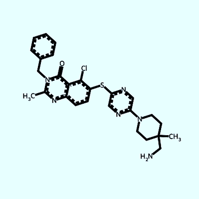 Cc1nc2ccc(Sc3cnc(N4CCC(C)(CN)CC4)cn3)c(Cl)c2c(=O)n1Cc1ccccc1